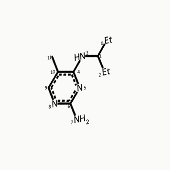 CCC(CC)Nc1nc(N)ncc1C